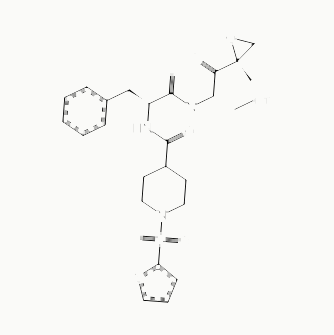 CC(C)C[C@H](NC(=O)[C@H](Cc1ccccc1)NC(=O)C1CCN(S(=O)(=O)c2cccs2)CC1)C(=O)[C@@]1(C)CO1